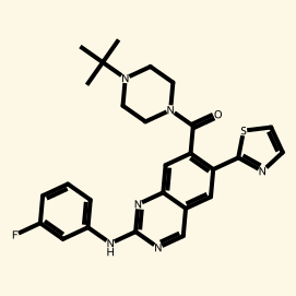 CC(C)(C)N1CCN(C(=O)c2cc3nc(Nc4cccc(F)c4)ncc3cc2-c2nccs2)CC1